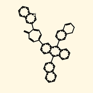 C=C1C=CC(c2ccc3c(-c4ccc5ccccc5c4)c4ccccc4c(-c4ccc5c(c4)CCC=C5)c3c2)=CC=C1c1cnc2ccccc2c1